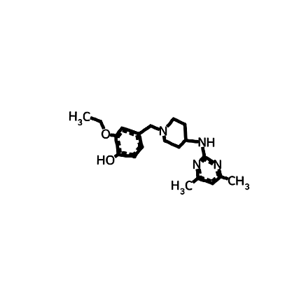 CCOc1cc(CN2CCC(Nc3nc(C)cc(C)n3)CC2)ccc1O